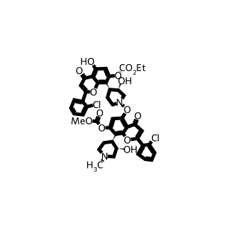 CCOC(=O)Oc1cc(O)c2c(=O)cc(-c3ccccc3Cl)oc2c1[C@H]1CCN(Oc2cc(OC(=O)OC)c([C@H]3CCN(C)C[C@H]3O)c3oc(-c4ccccc4Cl)cc(=O)c23)C[C@H]1O